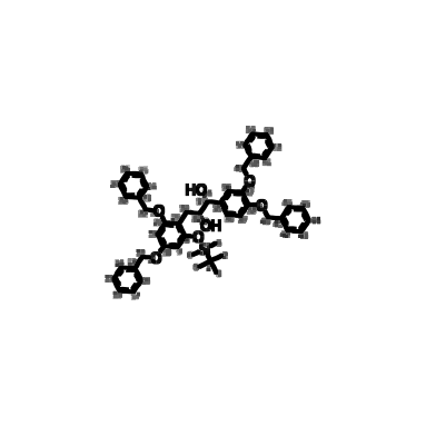 CC(C)(C)[Si](C)(C)Oc1cc(OCc2ccccc2)cc(OCc2ccccc2)c1C[C@@H](O)[C@H](O)c1ccc(OCc2ccccc2)c(OCc2ccccc2)c1